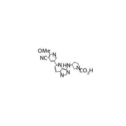 COc1ncc(-c2ccc3ncnc(N[C@H]4CCN(C(=O)O)C4)c3n2)cc1C#N